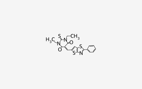 CCN1C(=O)C(=Cc2cc3sc(-c4ccccc4)nc3s2)C(=O)N(CC)C1=S